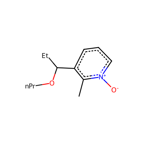 CCCOC(CC)c1ccc[n+]([O-])c1C